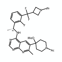 COC1(c2cc3c(N[C@H](C)c4cccc(C(F)(F)C5CN(C(C)C)C5)c4F)ncnc3nc2C)CCN(C(C)=O)CC1